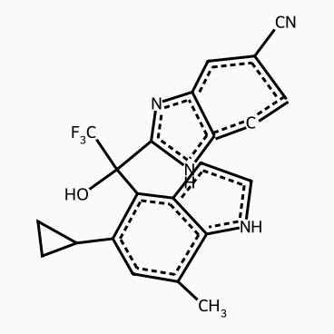 Cc1cc(C2CC2)c(C(O)(c2nc3cc(C#N)ccc3[nH]2)C(F)(F)F)c2cc[nH]c12